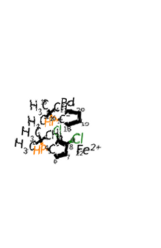 CC(C)(C)P[c-]1ccc(Cl)c1Cl.CC(C)(C)P[c-]1cccc1.[Fe+2].[Pd]